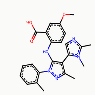 COc1ccc(Nc2c(-c3cnc(C)n3C)c(C)nn2-c2ccccc2C)c(C(=O)O)c1